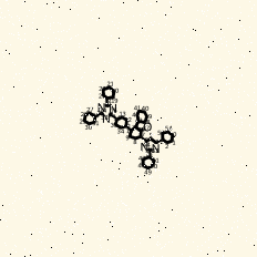 c1ccc(-c2cc(-c3ccc(-c4ccc(-c5nc(-c6ccccc6)nc(-c6ccccc6)n5)cc4)c4c3oc3ccccc34)nc(-c3ccccc3)n2)cc1